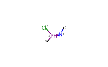 CN=[PH](C)Cl